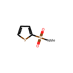 [CH2-][NH2+]S(=O)(=O)c1cccs1